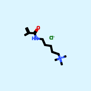 C=C(C)C(=O)NCCCCC[N+](C)(C)C.[Cl-]